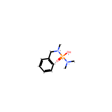 CN(C)P(=O)(O)N(C)Cc1ccccc1